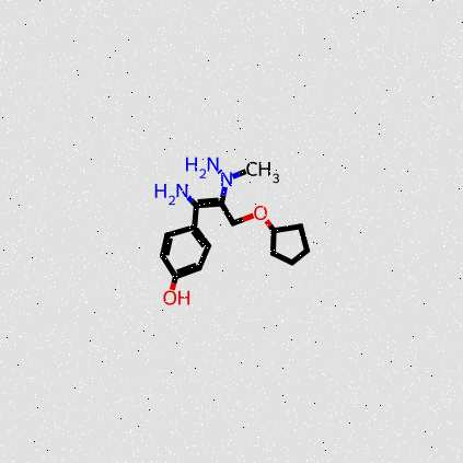 CN(N)/C(COC1CCCC1)=C(\N)c1ccc(O)cc1